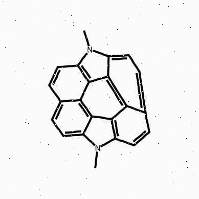 Cn1c2ccc3ccc4c5c3c2c2c3c(ccc21)ccc(c35)n4C